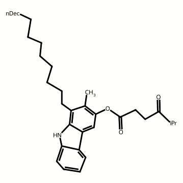 CCCCCCCCCCCCCCCCCCc1c(C)c(OC(=O)CCC(=O)C(C)C)cc2c1[nH]c1ccccc12